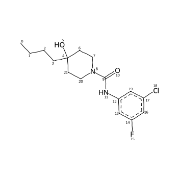 CCCCC1(O)CCN(C(=O)Nc2cc(F)cc(Cl)c2)CC1